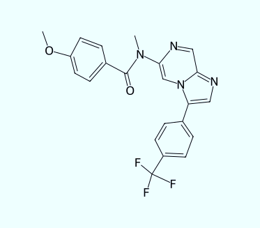 COc1ccc(C(=O)N(C)c2cn3c(-c4ccc(C(F)(F)F)cc4)cnc3cn2)cc1